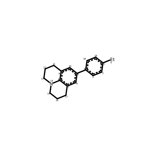 CCc1ccc(-c2cc3c4c(c2)CCCN4CCC3)cc1